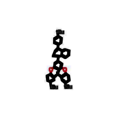 CC(C)(C)c1ccc(-c2ccc(-c3cc4c5c(c3)Oc3ccc(C(C)(C)C)cc3B5c3cc(C(C)(C)C)ccc3O4)c3ccccc23)cc1